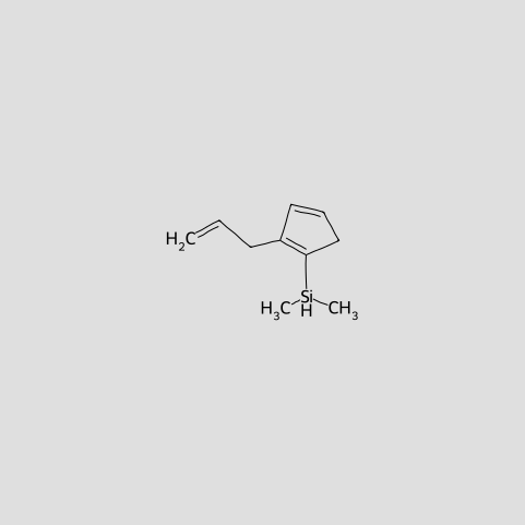 C=CCC1=C([SiH](C)C)CC=C1